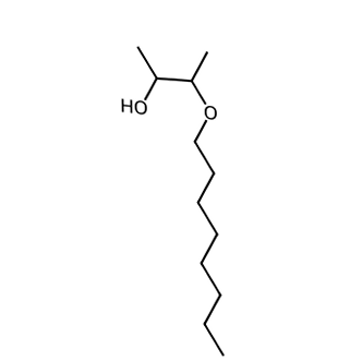 CCCCCCCCOC(C)C(C)O